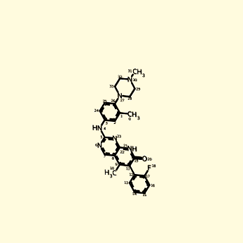 Cc1cc(Nc2ncc3c(C)c(-c4ccccc4F)c(=O)[nH]c3n2)ccc1N1CCN(C)CC1